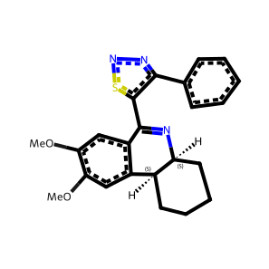 COc1cc2c(cc1OC)[C@@H]1CCCC[C@@H]1N=C2c1snnc1-c1ccccc1